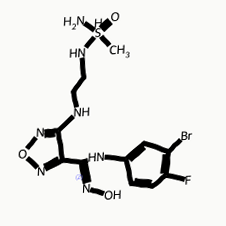 C[SH](N)(=O)NCCNc1nonc1/C(=N/O)Nc1ccc(F)c(Br)c1